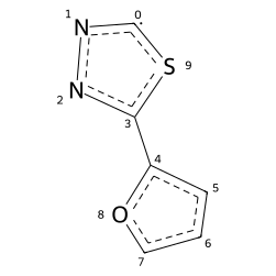 [c]1nnc(-c2ccco2)s1